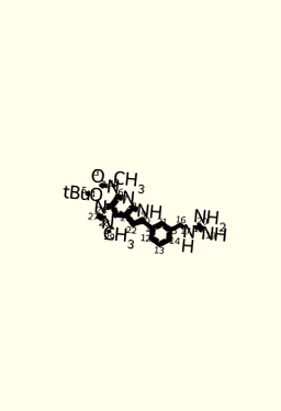 CN(C(=O)OC(C)(C)C)c1nc2[nH]c(-c3cccc(CNC(=N)N)c3)cc2c2c1ncn2C